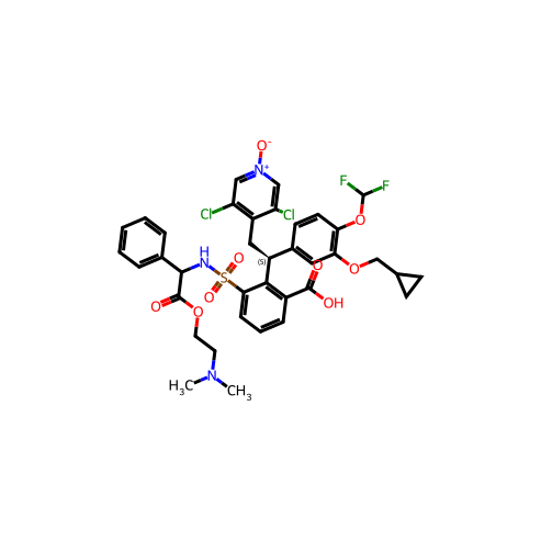 CN(C)CCOC(=O)C(NS(=O)(=O)c1cccc(C(=O)O)c1[C@@H](Cc1c(Cl)c[n+]([O-])cc1Cl)c1ccc(OC(F)F)c(OCC2CC2)c1)c1ccccc1